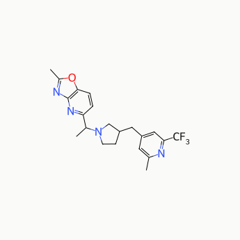 Cc1cc(CC2CCN(C(C)c3ccc4oc(C)nc4n3)C2)cc(C(F)(F)F)n1